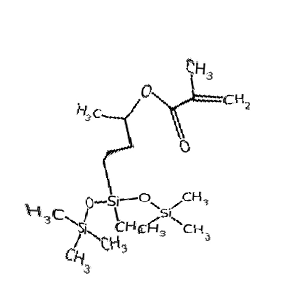 C=C(C)C(=O)OC(C)CC[Si](C)(O[Si](C)(C)C)O[Si](C)(C)C